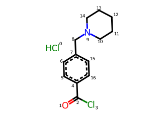 Cl.O=C(Cl)c1ccc(CN2CCCCC2)cc1